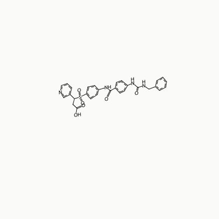 O=C(O)CC(c1cccnc1)S(=O)(=O)c1ccc(NC(=O)c2ccc(NC(=O)NCc3ccccc3)cc2)cc1